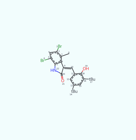 Cc1c(Br)cc(Br)c2c1C(=Cc1cc(C(C)(C)C)cc(C(C)(C)C)c1O)C(=O)N2